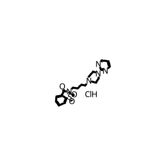 Cl.O=C1c2ccccc2S(=O)(=O)N1CCCCN1CCN(c2ncccn2)CC1